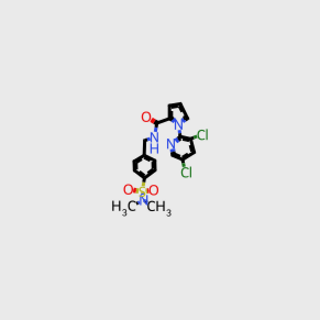 CN(C)S(=O)(=O)c1ccc(CNC(=O)c2cccn2-c2ncc(Cl)cc2Cl)cc1